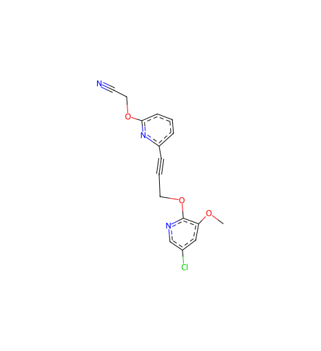 COc1cc(Cl)cnc1OCC#Cc1cccc(OCC#N)n1